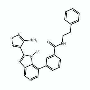 CCn1c(-c2nonc2N)nc2cncc(-c3cccc(C(=O)NCCc4ccccc4)c3)c21